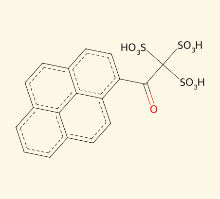 O=C(c1ccc2ccc3cccc4ccc1c2c34)C(S(=O)(=O)O)(S(=O)(=O)O)S(=O)(=O)O